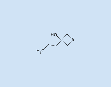 CCCC1(O)CSC1